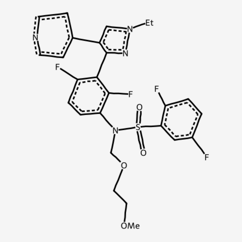 CCn1cc(-c2ccncc2)c(-c2c(F)ccc(N(COCCOC)S(=O)(=O)c3cc(F)ccc3F)c2F)n1